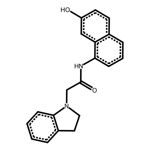 O=C(CN1CCc2ccccc21)Nc1cccc2ccc(O)cc12